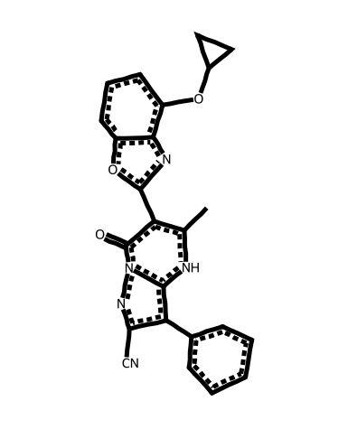 Cc1[nH]c2c(-c3ccccc3)c(C#N)nn2c(=O)c1-c1nc2c(OC3CC3)cccc2o1